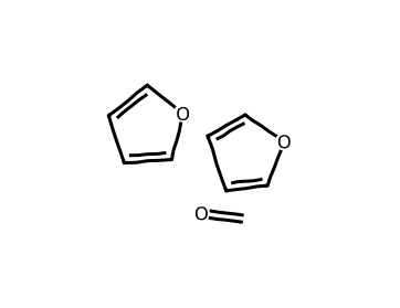 C=O.c1ccoc1.c1ccoc1